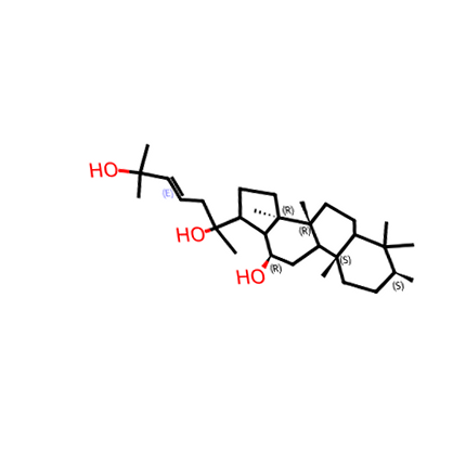 C[C@H]1CC[C@@]2(C)C(CC[C@]3(C)C2C[C@@H](O)C2C(C(C)(O)C/C=C/C(C)(C)O)CC[C@]23C)C1(C)C